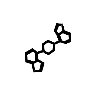 c1cc(N2CCN(c3cccc4sccc34)CC2)c2ccsc2c1